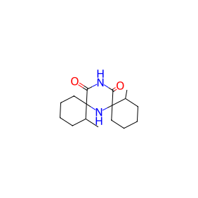 CC1CCCCC12NC1(CCCCC1C)C(=O)NC2=O